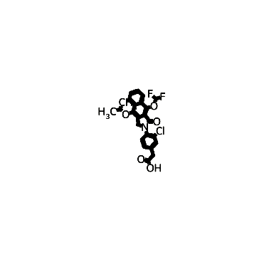 CC(C)Oc1c2c(c(OC(F)F)c3ccccc13)C(=O)N(c1ccc(CC(=O)O)cc1Cl)C2